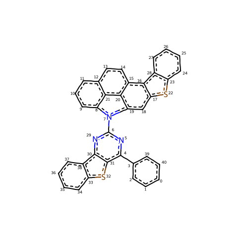 c1ccc(-c2nc(-n3c4cccc5ccc6c7c(cc3c6c54)sc3ccccc37)nc3c2sc2ccccc23)cc1